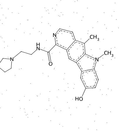 Cc1c2ccnc(C(=O)NCCN3CCCC3)c2cc2c3cc(O)ccc3n(C)c12